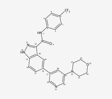 O=C(Nc1ccc(C(F)(F)F)cc1)c1n[nH]c2ccc(-c3cncc(N4CCOCC4)c3)cc12